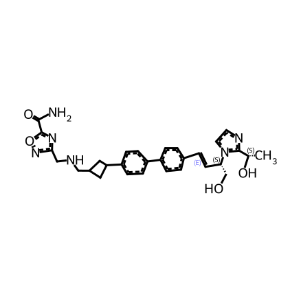 C[C@H](O)c1nccn1[C@@H](/C=C/c1ccc(-c2ccc(C3CC(CNCc4noc(C(N)=O)n4)C3)cc2)cc1)CO